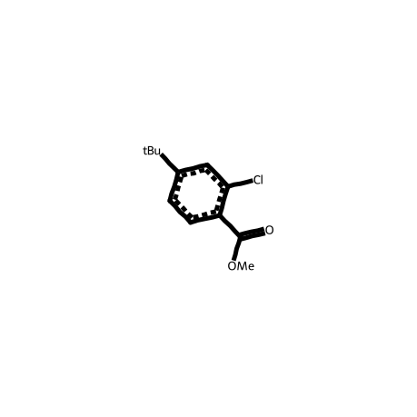 COC(=O)c1ccc(C(C)(C)C)cc1Cl